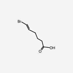 O=C(O)CCC/C=C/Br